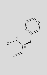 O=[C][C@H](Cc1ccccc1)NCl